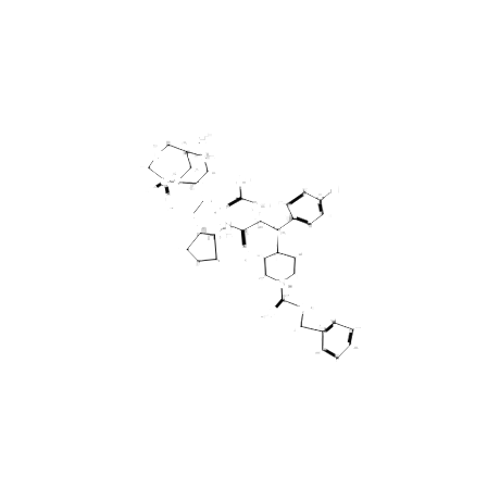 O=C(O)N[C@@H](C(=O)N[C@H]1CCC[C@@H]1CC[C@H]1CN[C@@H]2CCCS(=O)(=O)N1C2)[C@@H](c1ccc(Cl)cc1)C1CCN(C(=O)OCc2ccccc2)CC1